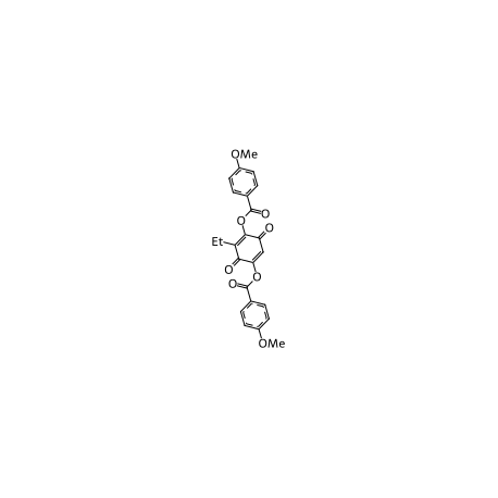 CCC1=C(OC(=O)c2ccc(OC)cc2)C(=O)C=C(OC(=O)c2ccc(OC)cc2)C1=O